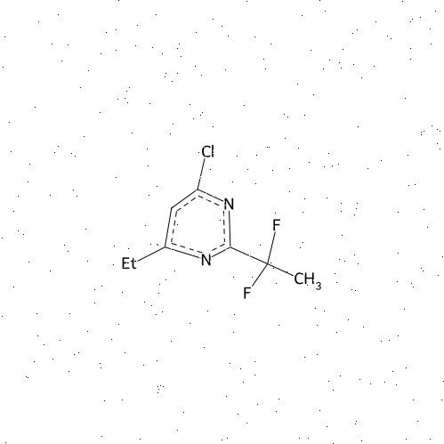 CCc1cc(Cl)nc(C(C)(F)F)n1